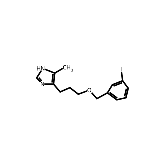 Cc1[nH]cnc1CCCOCc1cccc(I)c1